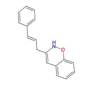 C(=Cc1ccccc1)CC1=Cc2ccccc2ON1